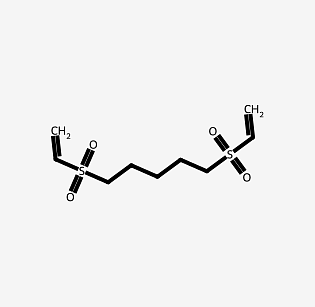 C=CS(=O)(=O)CCCCCS(=O)(=O)C=C